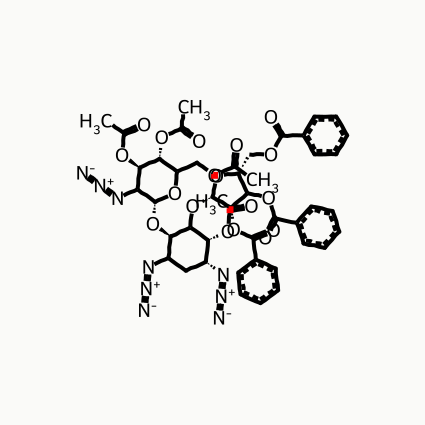 CC(=O)OCC1O[C@H](O[C@@H]2C(N=[N+]=[N-])C[C@@H](N=[N+]=[N-])[C@@H](OC(C)=O)C2O[C@@H]2O[C@H](COC(=O)c3ccccc3)C(OC(=O)c3ccccc3)[C@@H]2OC(=O)c2ccccc2)C(N=[N+]=[N-])[C@@H](OC(C)=O)[C@@H]1OC(C)=O